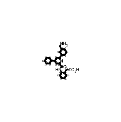 NCc1cccc(-c2cc(-c3ccccc3)cc(C(=O)Nc3ccccc3CC(=O)O)n2)c1